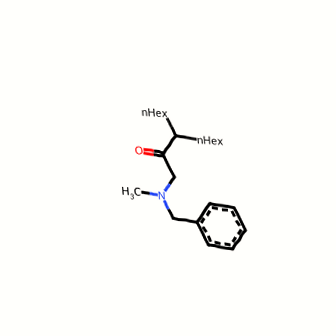 CCCCCCC(CCCCCC)C(=O)CN(C)Cc1ccccc1